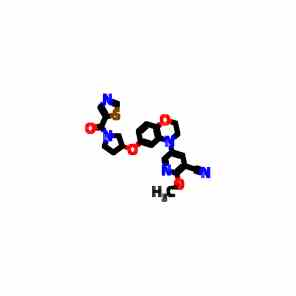 COc1ncc(N2CCOc3ccc(O[C@H]4CCN(C(=O)c5cncs5)C4)cc32)cc1C#N